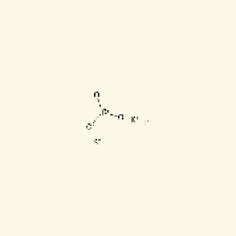 [I-].[K+].[K+].[O-][I+2]([O-])[O-]